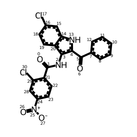 O=C(Nc1c(C(=O)c2ccccc2)[nH]c2cc(Cl)ccc12)c1ccc([N+](=O)[O-])cc1Cl